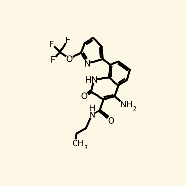 CCCNC(=O)c1c(N)c2cccc(-c3cccc(OC(F)(F)F)n3)c2[nH]c1=O